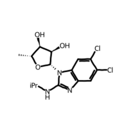 CC(C)Nc1nc2cc(Cl)c(Cl)cc2n1[C@@H]1O[C@H](C)[C@@H](O)[C@H]1O